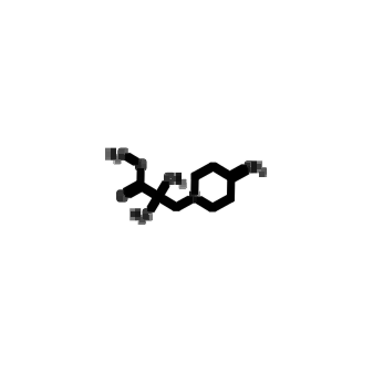 C=C1CCN(CC(C)(C)C(=O)OC)CC1